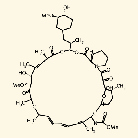 COC(=O)N[C@@H]1C[C@@H]2CC[C@@H](C)[C@@](O)(O2)C(=O)C(=O)N2CCCC[C@H]2C(=O)O[C@H]([C@H](C)C[C@@H]2CC[C@@H](O)[C@H](OC)C2)CC(=O)[C@H](C)/C=C(\C)[C@@H](O)[C@@H](OC)C(=O)[C@H](C)C[C@H](C)/C=C/C=C/C=C/1C